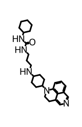 O=C(NCCCNC1CCC(N2CCc3cncc4cccc2c34)CC1)NC1CCCCC1